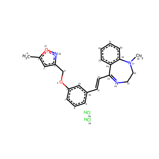 Cc1cc(COc2cccc(C=CC3=NCCN(C)c4ccccc43)c2)no1.Cl.Cl